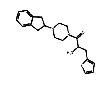 NC(Cc1cccs1)C(=O)N1CCN(C2Cc3ccccc3C2)CC1